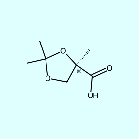 CC1(C)OC[C@](C)(C(=O)O)O1